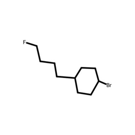 FCCCCC1CCC(Br)CC1